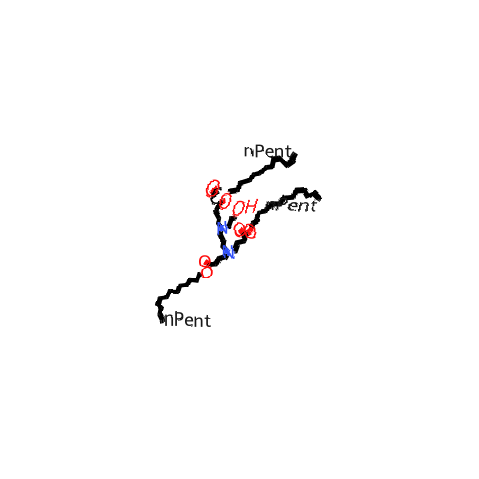 CCCCC/C=C\C/C=C\CCCCCCCCOC(=O)CCCN(CCCC(=O)OCCCCCCCC/C=C\C/C=C\CCCCC)CCCN(CCCO)CCCC(=C=O)OCCCCCCCC/C=C\C/C=C\CCCCC